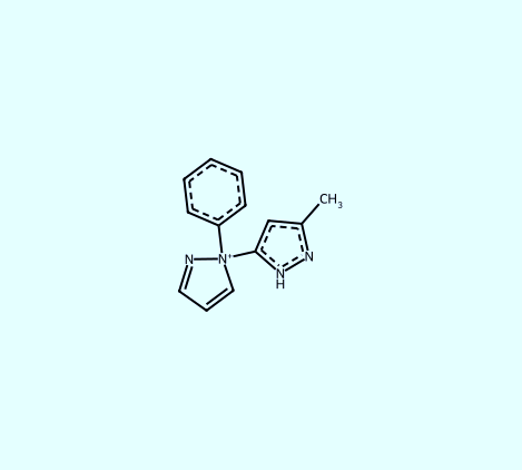 Cc1cc([N+]2(c3ccccc3)C=CC=N2)[nH]n1